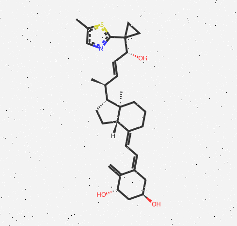 C=C1/C(=C\C=C2/CCC[C@]3(C)[C@@H]([C@@H](C)/C=C/[C@@H](O)C4(c5ncc(C)s5)CC4)CC[C@@H]23)C[C@@H](O)C[C@@H]1O